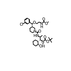 COC(=O)NCCOC(c1cccc(Cl)c1)[C@@H]1CCCN(C(=O)NC(C)C([C@H]2CCCC[C@@H]2O)N(C)C(=O)OC(C)(C)C)C1